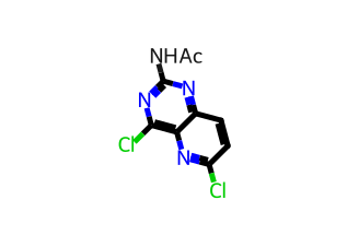 CC(=O)Nc1nc(Cl)c2nc(Cl)ccc2n1